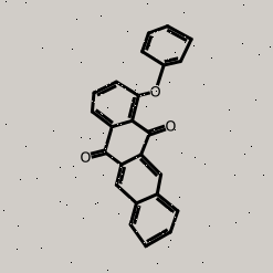 O=C1c2cc3ccccc3cc2C(=O)c2c(Oc3ccccc3)cccc21